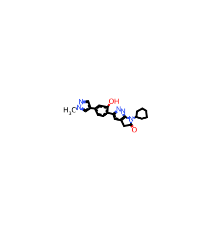 Cn1cc(-c2ccc(-c3cc4c(nn3)N(C3CCCCC3)C(=O)C4)c(O)c2)cn1